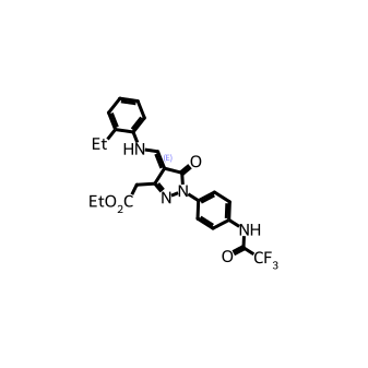 CCOC(=O)CC1=NN(c2ccc(NC(=O)C(F)(F)F)cc2)C(=O)/C1=C/Nc1ccccc1CC